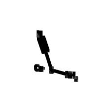 N#CSN.[Cu]